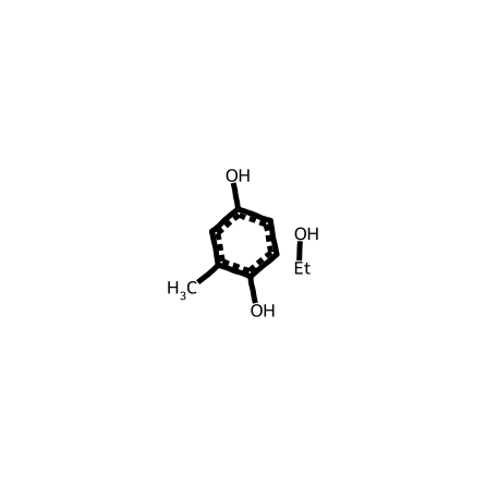 CCO.Cc1cc(O)ccc1O